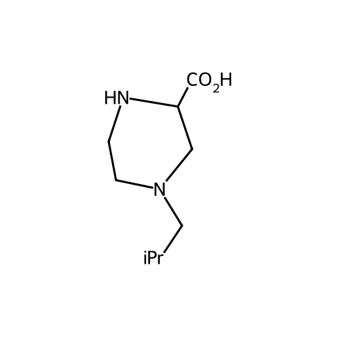 CC(C)CN1CCNC(C(=O)O)C1